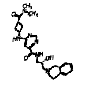 CN(C)C(=O)[C@H]1C[C@@H](Nc2cc(C(=O)NC[C@H](O)CN3CCc4ccccc4C3)ncn2)C1